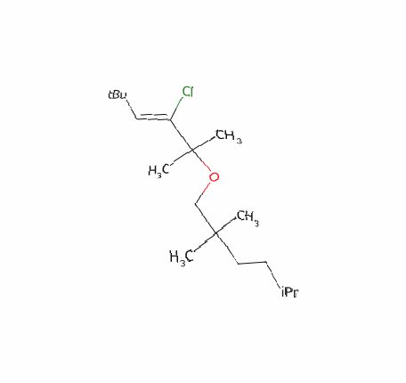 CC(C)CCC(C)(C)COC(C)(C)/C(Cl)=C/C(C)(C)C